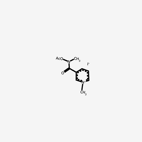 CC(=O)ON(C)C(=O)c1ccc[n+](C)c1.[I-]